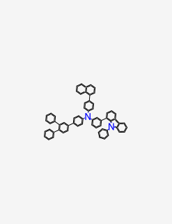 c1ccc(-c2ccc(-c3ccc(N(c4ccc(-c5cccc6ccccc56)cc4)c4cccc(-c5cccc6c7ccccc7n(-c7ccccc7)c56)c4)cc3)cc2-c2ccccc2)cc1